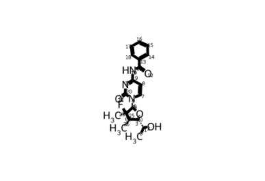 CC(O)[C@H]1O[C@@H](n2ccc(NC(=O)c3ccccc3)nc2=O)[C@](C)(F)[C@@H]1C